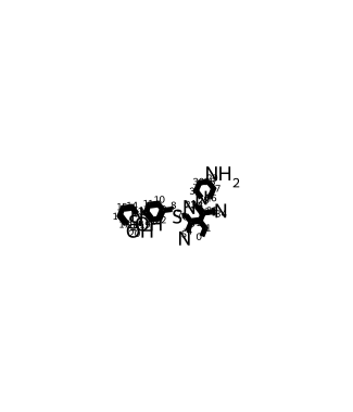 CCc1c(C#N)c(SCc2ccc(N3C=CC=CS3(O)O)cc2)nc(N2CCC(N)CC2)c1C#N